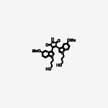 COc1ccc2c(c1)c(C1=C(c3cn(CCCO)c4ccc(OC)cc34)C(=O)NC1=O)cn2CCCO